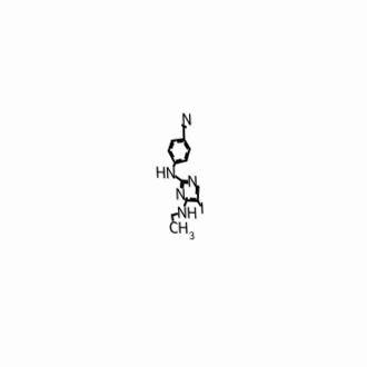 CCNc1nc(Nc2ccc(C#N)cc2)ncc1I